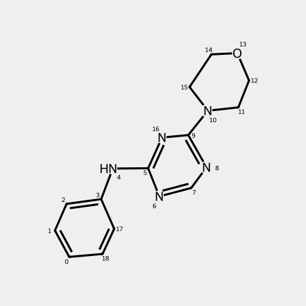 c1ccc(Nc2ncnc(N3CCOCC3)n2)cc1